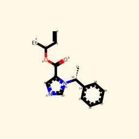 C=CC(CC)OC(=O)c1cncn1[C@H](C)c1ccccc1